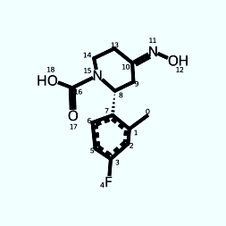 Cc1cc(F)ccc1[C@H]1CC(=NO)CCN1C(=O)O